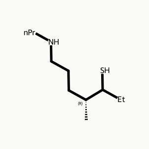 CCCNCCC[C@@H](C)C(S)CC